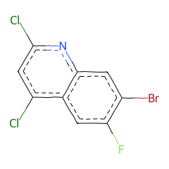 Fc1cc2c(Cl)cc(Cl)nc2cc1Br